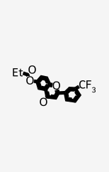 CCC(=O)Oc1ccc2oc(-c3cccc(C(F)(F)F)c3)cc(=O)c2c1